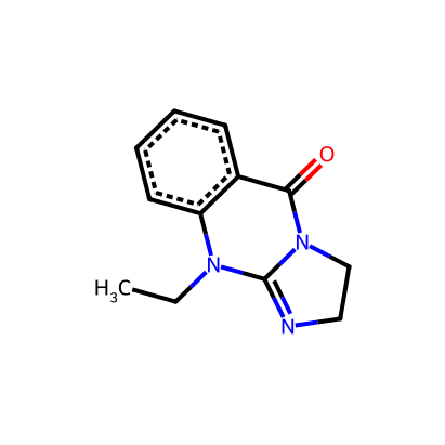 CCN1C2=NCCN2C(=O)c2ccccc21